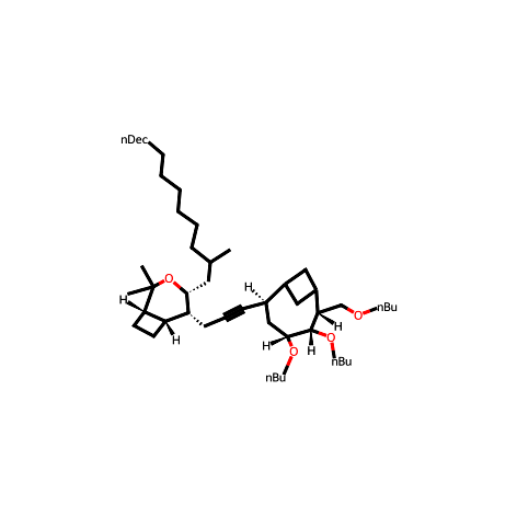 CCCCCCCCCCCCCCCCC(C)C[C@H]1OC(C)(C)[C@H]2CC[C@H]2[C@H]1CC#C[C@@H]1C[C@@H](OCCCC)[C@@H](OCCCC)[C@@H](COCCCC)C2CC1C2